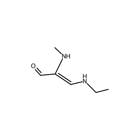 CCN/C=C(/C=O)NC